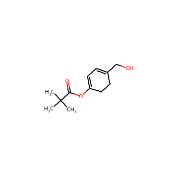 CC(C)(C)C(=O)OC1=CC=C(CO)CC1